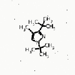 Cc1cn(C(C)(C)C)nc1C(C)(C)C